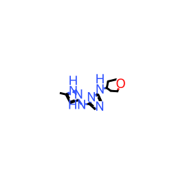 Cc1cc(Nc2cncc(NC3CCOCC3)n2)n[nH]1